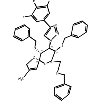 CC1=C[C@]2(OC1)O[C@H](COCc1ccccc1)[C@H](OCc1ccccc1)[C@H](n1cc(-c3cc(F)c(F)c(F)c3)nn1)[C@H]2OCc1ccccc1